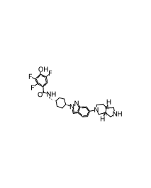 O=C(NC[C@H]1CC[C@H](n2cc3ccc(N4CC[C@@H]5CNC[C@@H]5C4)cc3n2)CC1)c1cc(F)c(O)c(F)c1F